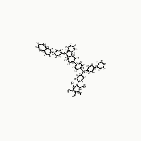 Fc1c(F)c(F)c(-c2ccc(N(c3ccc(-c4ccccc4)cc3)c3ccc(-c4ccc5c(c4)c4ccccc4n5-c4ccc(-c5ccc6nccnc6c5)cc4)cc3)cc2)c(F)c1F